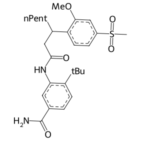 CCCCCC(CC(=O)Nc1cc(C(N)=O)ccc1C(C)(C)C)c1ccc(S(C)(=O)=O)cc1OC